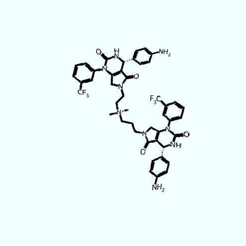 C[N+](C)(CCCN1CC2=C(C1=O)[C@@H](c1ccc(N)cc1)NC(=O)N2c1cccc(C(F)(F)F)c1)CCN1CC2=C(C1=O)[C@@H](c1ccc(N)cc1)NC(=O)N2c1cccc(C(F)(F)F)c1